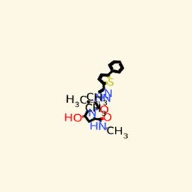 CNC(=O)C1CC(O)CN1C(=O)[C@@H](n1cc(-c2ccc(-c3ccccc3)s2)nn1)C(C)(C)C